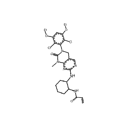 C=CC(=O)NC1CCCCC1Nc1ncc2c(n1)N(C)C(=O)N(c1c(Cl)c(OCC)cc(OCC)c1Cl)C2